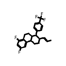 CC=CC1CCC2c3cc(F)cc(F)c3CCC2C1c1ccc(C(F)(F)F)cc1